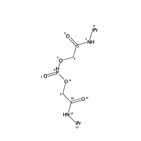 CC(C)NC(=O)CO[PH](=O)OCC(=O)NC(C)C